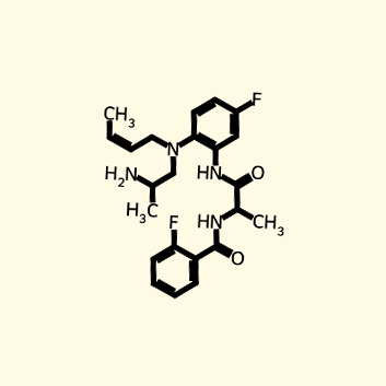 C/C=C\CN(CC(C)N)c1ccc(F)cc1NC(=O)C(C)NC(=O)c1ccccc1F